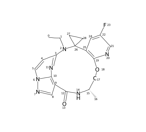 CCN1c2ccn3ncc(c3n2)C(=O)N[C@@H](C)COc2ncc(F)cc2C12CC2